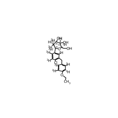 [2H]c1c([2H])c([C@]2([2H])O[C@]([2H])(CO)[C@@]([2H])(O)[C@]([2H])(O)[C@@]2([2H])O)c([2H])c(Cc2c([2H])c([2H])c(OCC)c([2H])c2[2H])c1Cl